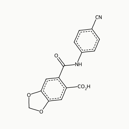 N#Cc1ccc(NC(=O)c2cc3c(cc2C(=O)O)OCO3)cc1